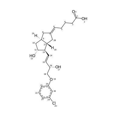 O=C(O)CCCC=C1C[C@@H]2C[C@@H](O)[C@H](C=C[C@H](O)COc3cccc(Cl)c3)[C@H]2C1